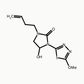 C=CCCN1CC(O)N(c2nnc(OC)s2)C1=O